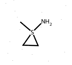 CS1(N)CC1